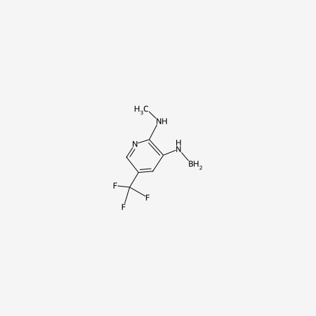 BNc1cc(C(F)(F)F)cnc1NC